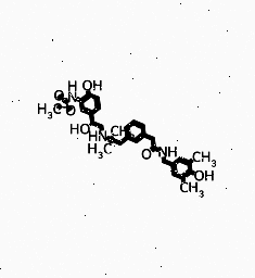 Cc1cc(CNC(=O)Cc2cccc(CC(C)(C)NC[C@@H](O)c3ccc(O)c(NS(C)(=O)=O)c3)c2)cc(C)c1O